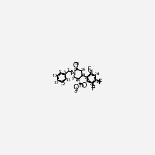 COC(=O)[C@@H]1CN(Cc2ccccc2)C(=O)C[C@H]1c1cc(F)c(F)cc1F